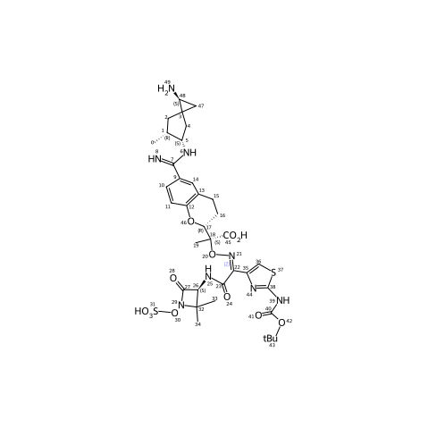 C[C@@H]1CC2(C[C@@H]1NC(=N)c1ccc3c(c1)CC[C@H]([C@](C)(O/N=C(\C(=O)N[C@@H]1C(=O)N(OS(=O)(=O)O)C1(C)C)c1csc(NC(=O)OC(C)(C)C)n1)C(=O)O)O3)C[C@@H]2N